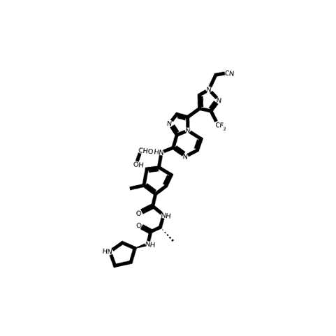 Cc1cc(Nc2nccn3c(-c4cn(CC#N)nc4C(F)(F)F)cnc23)ccc1C(=O)N[C@H](C)C(=O)N[C@H]1CCNC1.O=CO